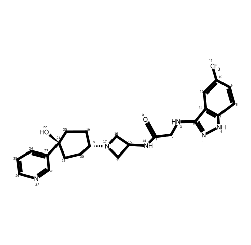 O=C(CNc1n[nH]c2ccc(C(F)(F)F)cc12)NC1CN([C@H]2CC[C@@](O)(c3cccnc3)CC2)C1